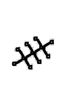 [Cl][Ge]([Cl])([Cl])[Ge]([Cl])([Cl])[Ge]([Cl])([Cl])[Cl]